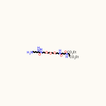 CCOC(=O)CCC(NC(=O)CCC(=O)NCCCOCCOCCOCCCNC(=O)C(N)CCCCN)C(=O)OCC